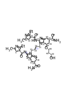 CCn1nc(C)cc1C(=O)/N=c1\sc2cc(C(N)=O)cnc2n1C/C=C/Cn1c(NC(=O)c2cc(C)nn2CC)nc2cc(C(N)=O)cc(OCCCO)c21